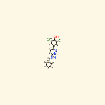 Oc1c(Cl)cc(-c2ccc(NCc3ccccc3)nn2)cc1Cl